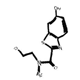 CC(=O)N(CC[O])C(=O)c1nc2ccc(O)cc2s1